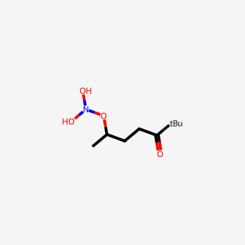 CC(CCC(=O)C(C)(C)C)ON(O)O